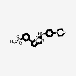 CS(=O)(=O)c1cccc(-c2ccc3cnc(Nc4ccc(N5CCOCC5)cc4)nn23)c1